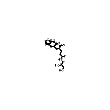 O=C(CCc1cc2cc3ccoc3cc2oc1=O)NCC(O)CO